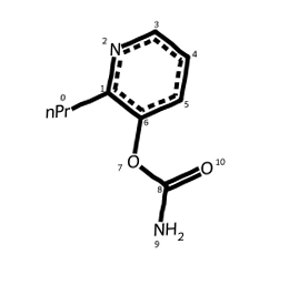 CCCc1ncccc1OC(N)=O